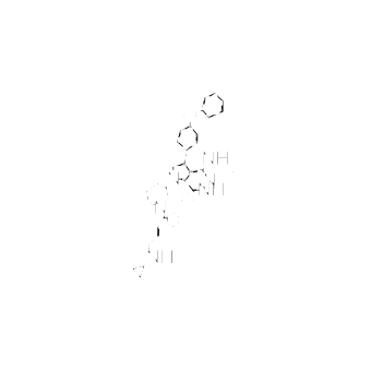 Nc1n[nH]c(=O)c2c1c(-c1ccc(Oc3ccccc3)cc1)cn2[C@@H]1CCCN(C(=O)C=CCNC2CC2)C1